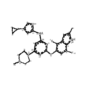 Cc1cc2c(F)c(Oc3nc(Nc4cc(C5CC5)co4)cc(N4CCN(C)CC4)n3)cc(F)c2[nH]1